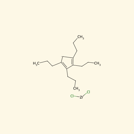 CCCC1=C(CCC)C(CCC)=C(CCC)[CH]1.[Cl][Zr][Cl]